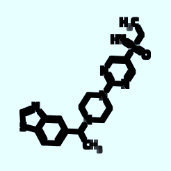 CCS(=N)(=O)c1cnc(N2CCN(C(C)c3ccc4scnc4c3)CC2)nc1